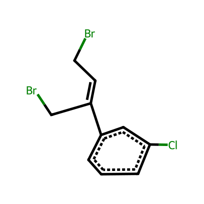 Clc1cccc(C(=CCBr)CBr)c1